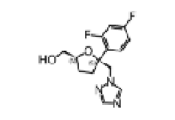 OC[C@@H]1CC[C@@](Cn2cncn2)(c2ccc(F)cc2F)O1